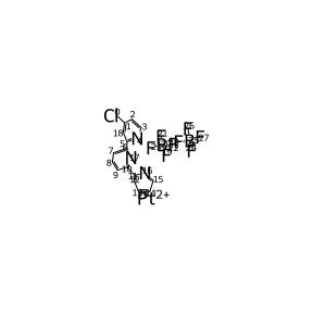 Clc1ccnc(-c2cccc(-c3ccccn3)n2)c1.F[B-](F)(F)F.F[B-](F)(F)F.[Pt+2]